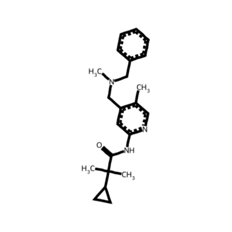 Cc1cnc(NC(=O)C(C)(C)C2CC2)cc1CN(C)Cc1ccccc1